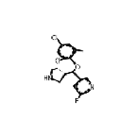 Cc1cc(Cl)cc(Cl)c1O[C@@H](c1cncc(F)c1)[C@H]1CCNC1